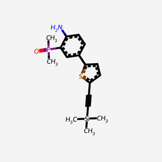 C[Si](C)(C)C#Cc1ccc(-c2ccc(N)c(P(C)(C)=O)c2)s1